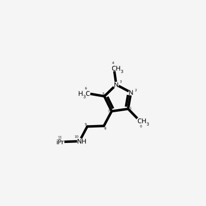 Cc1nn(C)c(C)c1CCNC(C)C